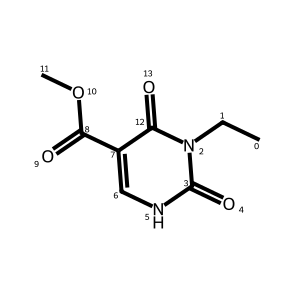 CCn1c(=O)[nH]cc(C(=O)OC)c1=O